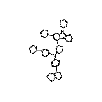 c1ccc(-c2ccc(N(c3ccc(-c4cccc5ccccc45)cc3)c3cccc(-c4cc(-c5ccccc5)cc5c4c4ccccc4n5-c4ccccc4)c3)cc2)cc1